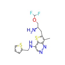 Cc1c(C[C@@H](N)COC(F)F)sc2c(NCc3cccs3)cnnc12